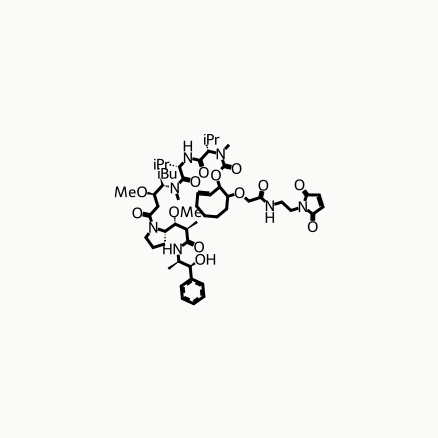 CC[C@H](C)[C@@H]([C@@H](CC(=O)N1CCC[C@H]1[C@H](OC)[C@@H](C)C(=O)N[C@H](C)[C@@H](O)c1ccccc1)OC)N(C)C(=O)[C@@H](NC(=O)[C@H](C(C)C)N(C)C(=O)OC1/C=C/CCCCC1OCC(=O)NCCN1C(=O)C=CC1=O)C(C)C